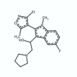 CCc1noc(C)c1-c1c(C(O)CN2CCCC2)c2cc(F)ccc2n1C